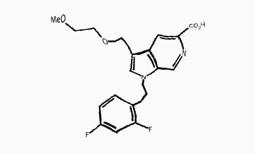 COCCOCc1cn(Cc2ccc(F)cc2F)c2cnc(C(=O)O)cc12